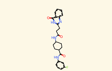 O=C(CCc1nc2ccccc2c(=O)[nH]1)NC1CCC(C(=O)Nc2cccc(F)c2)CC1